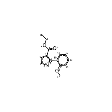 CCOC(=O)c1ccnn1-c1ccccc1OC